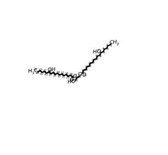 CCCCCCC(O)CCCCCCCCCCC(=O)OCC(CO)OC(=O)CCCCCCCCCCC(O)CCCCCC